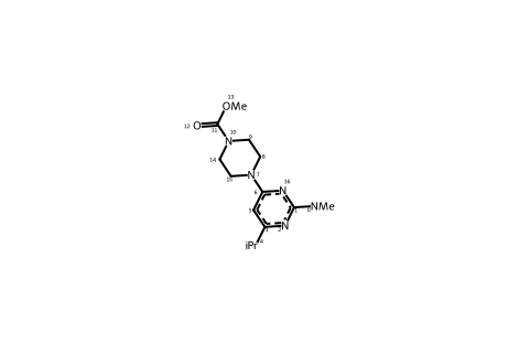 CNc1nc(C(C)C)cc(N2CCN(C(=O)OC)CC2)n1